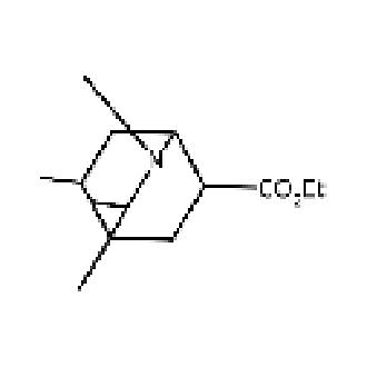 CCOC(=O)C1CC2(C)C(C)CC1N(C)C2C